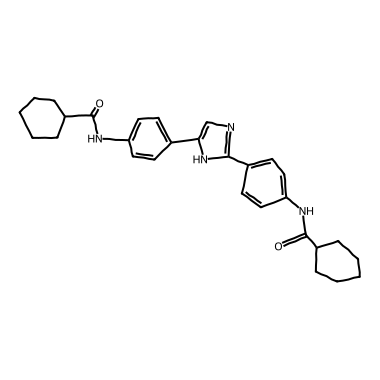 O=C(Nc1ccc(-c2cnc(-c3ccc(NC(=O)C4CCCCC4)cc3)[nH]2)cc1)C1CCCCC1